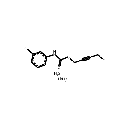 O=C(Nc1cccc(Cl)c1)OCC#CCCl.S.[PbH2]